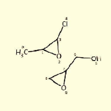 CC1OC1Cl.OCC1CO1